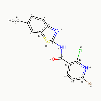 O=C(O)c1ccc2nc(NC(=O)c3ccc(Br)nc3Cl)sc2c1